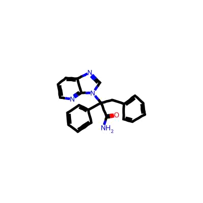 NC(=O)C(Cc1ccccc1)(c1ccccc1)n1cnc2cccnc21